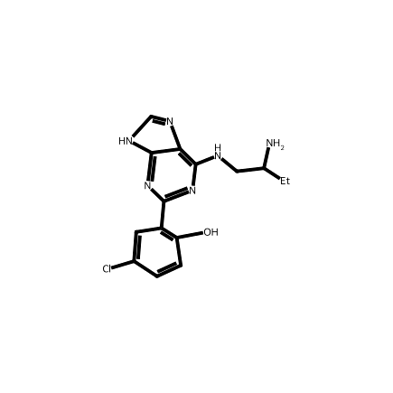 CCC(N)CNc1nc(-c2cc(Cl)ccc2O)nc2[nH]cnc12